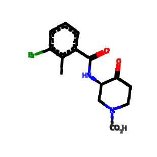 Cc1c(Br)cccc1C(=O)N[C@@H]1CN(C(=O)O)CCC1=O